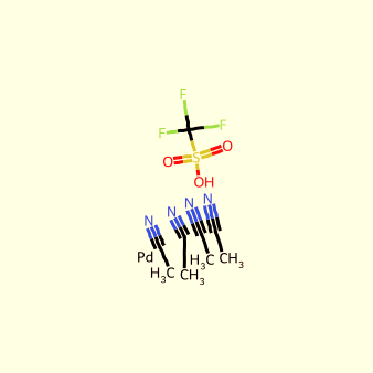 CC#N.CC#N.CC#N.CC#N.O=S(=O)(O)C(F)(F)F.[Pd]